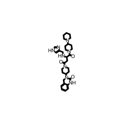 O=C(CC(NCc1c[nH]cn1)C(=O)N1CCC(N2CCCCC2)CC1)N1CCC(N2Cc3ccccc3NC2=O)CC1